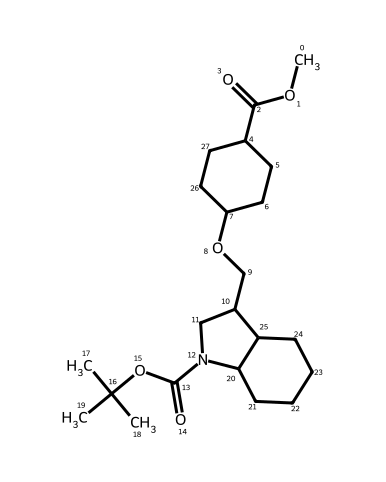 COC(=O)C1CCC(OCC2CN(C(=O)OC(C)(C)C)C3CCCCC23)CC1